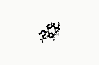 C=C/C=C\C(=O)Nc1cc(Nc2ncc(C#N)c(-c3cnn4ccccc34)n2)c(OC)cc1N1CC[C@@H](N(C)C)C1